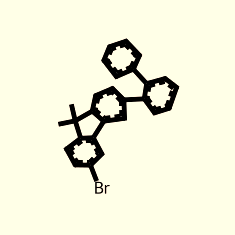 CC1(C)c2ccc(Br)cc2-c2cc(-c3ccccc3-c3ccccc3)ccc21